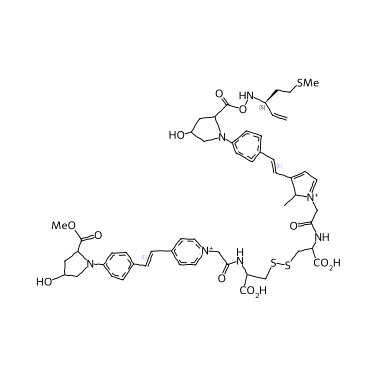 C=C[C@H](CCSC)NOC(=O)C1CC(O)CN1c1ccc(/C=C/C2=CC=[N+](CC(=O)NC(CSSCC(NC(=O)C[n+]3ccc(/C=C/c4ccc(N5CC(O)CC5C(=O)OC)cc4)cc3)C(=O)O)C(=O)O)C2C)cc1